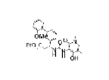 CCOC(=O)CC(NC(=O)Nc1c(O)c(C)cn(C)c1=O)c1cccc(-c2ccccc2OC)c1